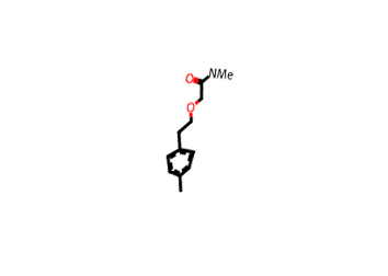 CNC(=O)COCCc1ccc(C)cc1